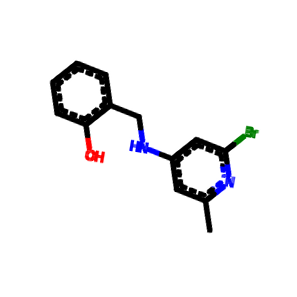 Cc1cc(NCc2ccccc2O)cc(Br)n1